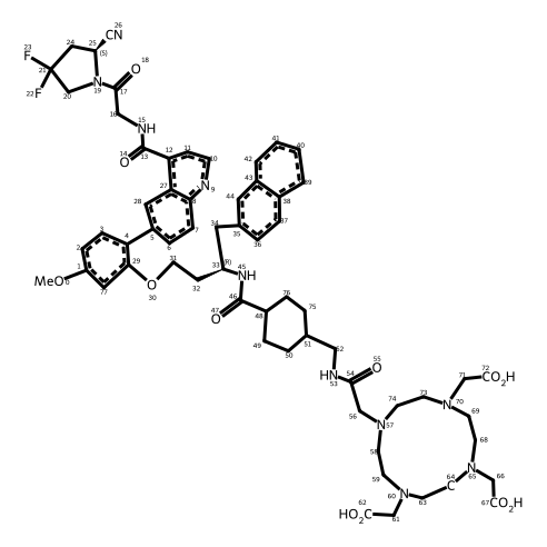 COc1ccc(-c2ccc3nccc(C(=O)NCC(=O)N4CC(F)(F)C[C@H]4C#N)c3c2)c(OCC[C@@H](Cc2ccc3ccccc3c2)NC(=O)C2CCC(CNC(=O)CN3CCN(CC(=O)O)CCN(CC(=O)O)CCN(CC(=O)O)CC3)CC2)c1